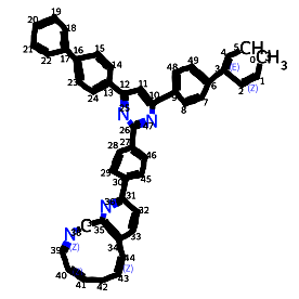 C/C=C\C(=C/C)c1ccc(-c2cc(-c3ccc(-c4ccccc4)cc3)nc(-c3ccc(-c4ccc5c(n4)C/N=C\C=C/C/C=C\5)cc3)n2)cc1